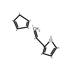 C1=CCC=C1.C=Cc1ccco1